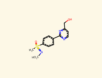 CS(=O)(=NC(=O)O)c1ccc(-c2nccc(CO)n2)cc1